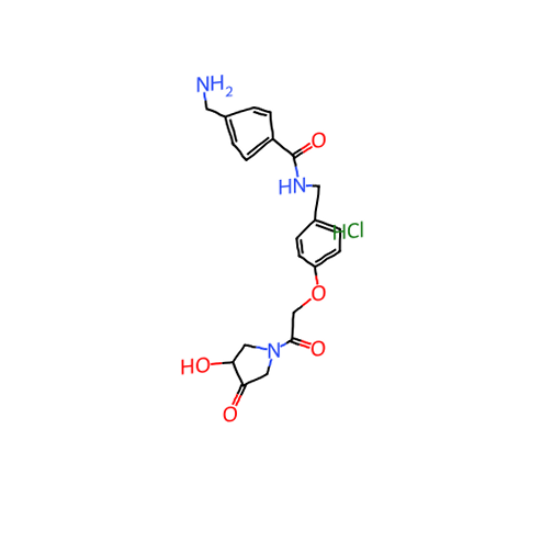 Cl.NCc1ccc(C(=O)NCc2ccc(OCC(=O)N3CC(=O)C(O)C3)cc2)cc1